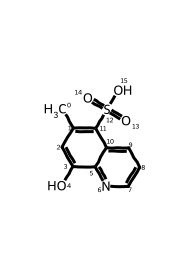 Cc1cc(O)c2ncccc2c1S(=O)(=O)O